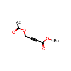 CC(=O)C(=O)OCC#CC(=O)OC(C)(C)C